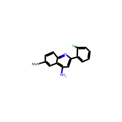 CNc1ccc2nc(-c3ccccc3F)cc(N)c2c1